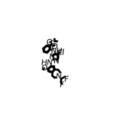 COc1cc2c(cc1Nc1ncc(Cl)c(Nc3ccccc3S(=O)(=O)C(C)C)n1)CCN(C(CF)CF)CC2